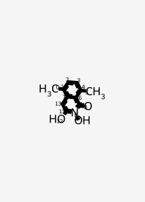 Cc1ccc(C)c2c(=O)n(O)c(O)cc12